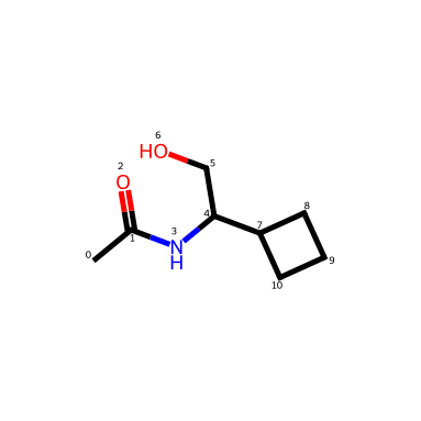 CC(=O)NC(CO)C1CCC1